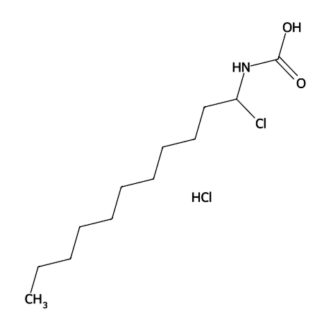 CCCCCCCCCCC(Cl)NC(=O)O.Cl